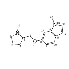 CN1CCCC1COc1ccc2ccn(C)c2c1